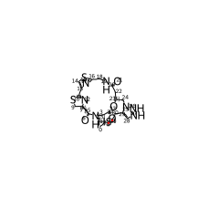 CC(C)[C@@H]1NC(=O)[C@]2(C)CSC(=N2)c2csc(n2)CNC(=O)C[C@@H](CN2NNC=C2CCS)OC1=O